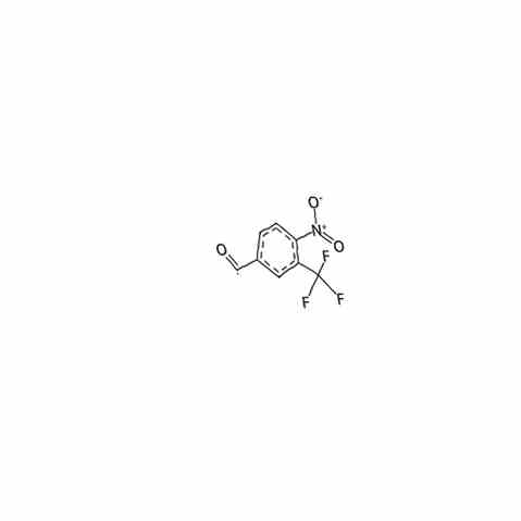 O=[C]c1ccc([N+](=O)[O-])c(C(F)(F)F)c1